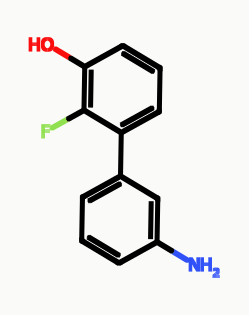 Nc1cccc(-c2cccc(O)c2F)c1